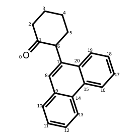 O=C1CCCCC1c1cc2ccccc2c2ccccc12